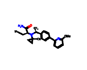 COc1cccc(-c2ccc([C@H](N([C@@H](CC(C)C)C(N)=O)C3(C#N)CC3)C(F)(F)F)cc2)n1